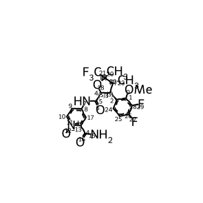 COc1c([C@H]2[C@@H](C(=O)Nc3cc[n+]([O-])c(C(N)=O)c3)O[C@@](C)(C(F)(F)F)[C@@H]2C)ccc(F)c1F